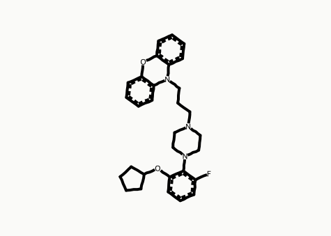 Fc1cccc(OC2CCCC2)c1N1CCN(CCCN2c3ccccc3Oc3ccccc32)CC1